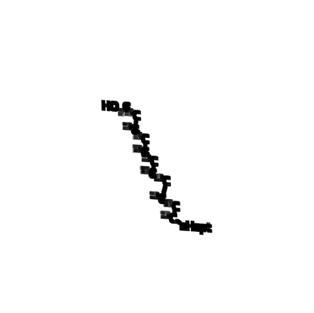 [13CH3][13CH2][13CH2][13CH2][13CH2][13CH2][13CH2][13CH2][13CH2][13CH2][13CH2][13CH2][13CH2][13CH2][13CH2][13CH2][13CH2][13C](=O)O